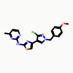 COc1ccc(Cn2cc(-c3csc(Nc4nccc(C)n4)n3)c(Br)n2)cc1